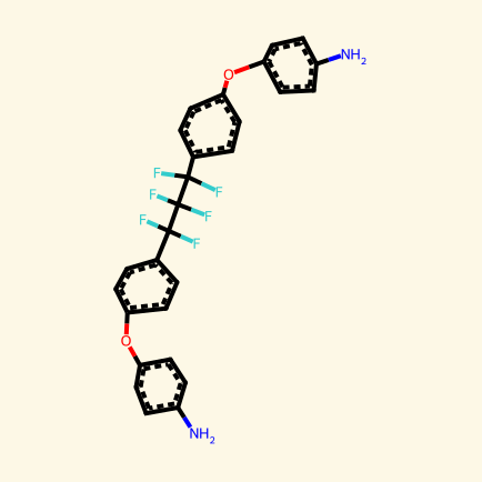 Nc1ccc(Oc2ccc(C(F)(F)C(F)(F)C(F)(F)c3ccc(Oc4ccc(N)cc4)cc3)cc2)cc1